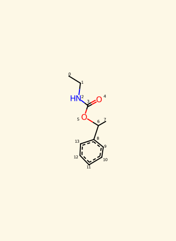 CCNC(=O)OC(C)c1ccccc1